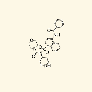 O=C(Nc1ccc(S(=O)(=O)N(C(=O)N2CCOCC2)C2CCNCC2)c2ccccc12)c1ccccc1